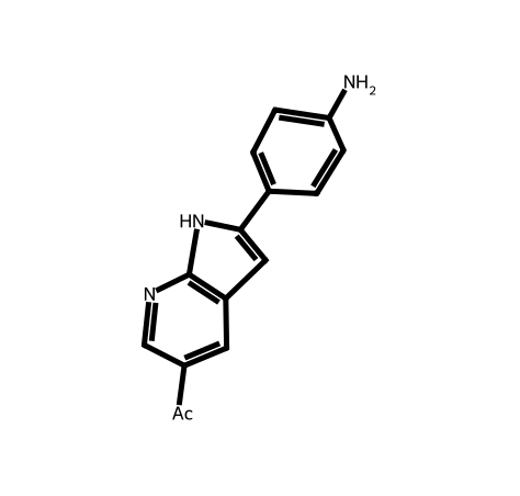 CC(=O)c1cnc2[nH]c(-c3ccc(N)cc3)cc2c1